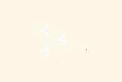 CCCCCN=C(N(C)C)N(C)C[SiH](C)C